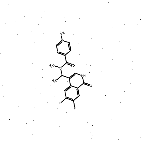 Cc1ccc(C(=O)N(C)C(C)c2c[nH]c(=O)c3cc(F)c(F)cc23)cc1